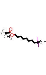 C=C(C)C(=O)OCCCCCCCCC([SiH3])(I)I